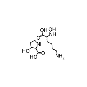 NCCCCC(NO)C(=O)O.O=C(O)C1NCCC1O